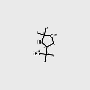 CC1(C)NC(C(C)(C)C(C)(C)C)CO1